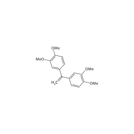 C=C(c1ccc(OC)c(OC)c1)c1ccc(OC)c(OC)c1